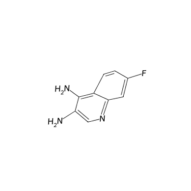 Nc1cnc2cc(F)ccc2c1N